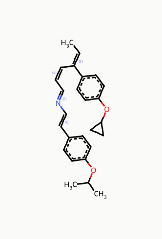 C\C=C(/C=C\C=N\C=C\c1ccc(OC(C)C)cc1)c1ccc(OC2CC2)cc1